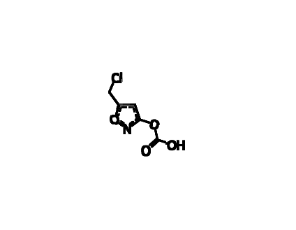 O=C(O)Oc1cc(CCl)on1